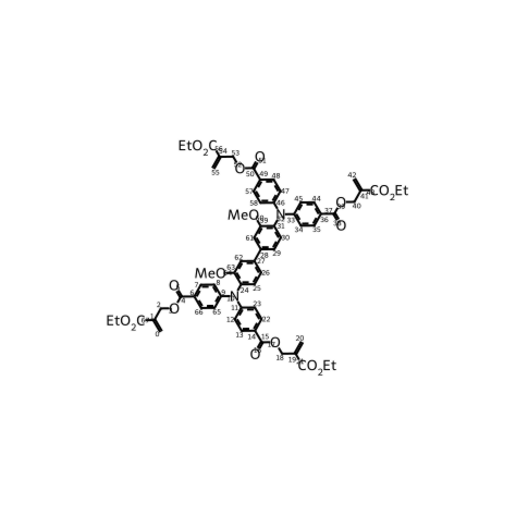 C=C(COC(=O)c1ccc(N(c2ccc(C(=O)OCC(=C)C(=O)OCC)cc2)c2ccc(-c3ccc(N(c4ccc(C(=O)OCC(=C)C(=O)OCC)cc4)c4ccc(C(=O)OCC(=C)C(=O)OCC)cc4)c(OC)c3)cc2OC)cc1)C(=O)OCC